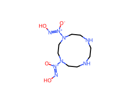 [O-]/[N+](=N\O)N1CCNCCNCCN(/[N+]([O-])=N/O)CC1